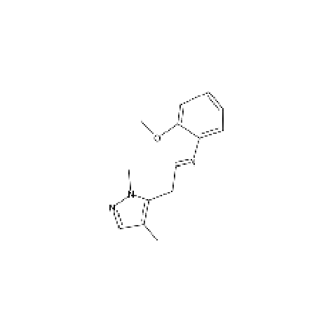 COc1ccccc1N=CCc1c(C)cnn1C